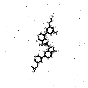 CN(C)Cc1cncc(-c2ccc3[nH]nc(-c4nc5c(-c6cc(F)cc(CC=O)c6)cncc5[nH]4)c3c2)c1